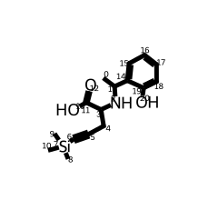 CC(NC(CC#C[Si](C)(C)C)C(=O)O)c1ccccc1O